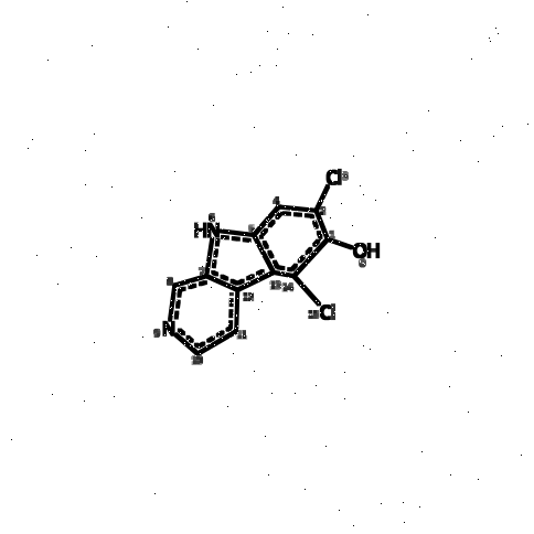 Oc1c(Cl)cc2[nH]c3cnccc3c2c1Cl